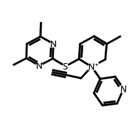 C#CC[N+]1(c2cccnc2)CC(C)=CC=C1Sc1nc(C)cc(C)n1